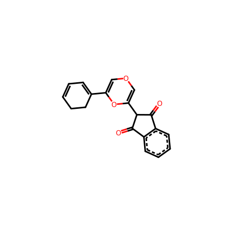 O=C1c2ccccc2C(=O)C1C1=COC=C(C2=CC=CCC2)O1